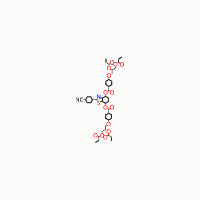 C=CC(=O)OCC(COc1ccc(C(=O)Oc2ccc(OC(=O)c3ccc(OCC(COC(=O)C=C)OC(=O)C=C)cc3)c3sc(-c4ccc(C#N)cc4)nc23)cc1)OC(=O)C=C